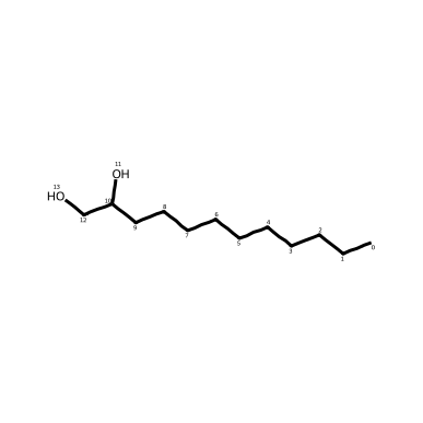 CCCCCCCCCCC(O)[CH]O